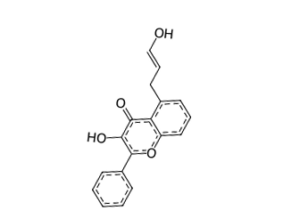 O=c1c(O)c(-c2ccccc2)oc2cccc(CC=CO)c12